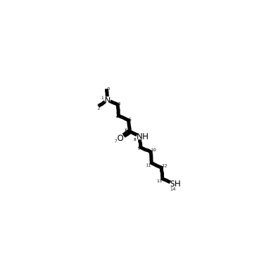 CN(C)CCCC(=O)NCCCCCS